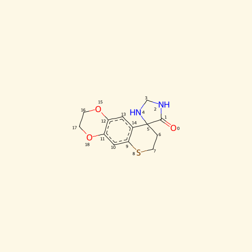 O=C1NCNC12CCSc1cc3c(cc12)OCCO3